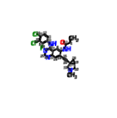 C=CC(=O)Nc1cc2c(Nc3ccc(Cl)c(Cl)c3F)ncnc2cc1C#C[C@@]12CC1CN(C)C2